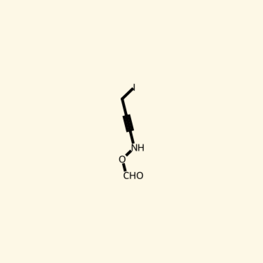 O=CONC#CCI